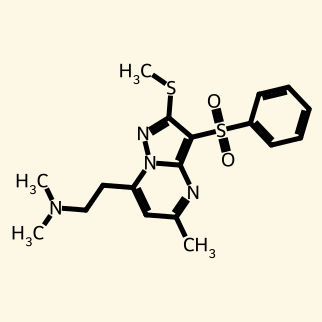 CSc1nn2c(CCN(C)C)cc(C)nc2c1S(=O)(=O)c1ccccc1